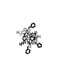 C[C@@H]([C@@H]1CC[C@@H](N=[N+]=[N-])[C@@H](O[C@H]2[C@H](O)[C@H]3OC(=O)N[C@@H]3[C@@H](OCc3ccccc3)[C@@H]2NC(=O)OCc2ccccc2)O1)N(C)C(=O)OCc1ccccc1